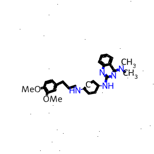 COc1ccc(CCCN[C@H]2CC[C@@H](Nc3nc(N(C)C)c4ccccc4n3)CC2)cc1OC